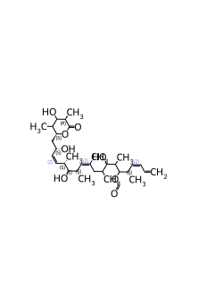 C=C/C=C\[C@H](C)C(OC=O)C(C)C(O)C(C)C/C(C)=C\[C@H](C)[C@@H](O)[C@@H](C)/C=C\[C@@H](O)C[C@@H]1OC(=O)[C@H](C)C(O)C1C